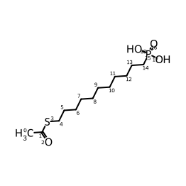 CC(=O)SCCCCCCCCCCCP(=O)(O)O